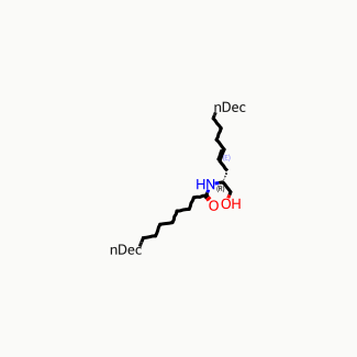 CCCCCCCCCCCCC/C=C/C[C@H](CO)NC(=O)CCCCCCCCCCCCCCCCC